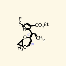 C=C/C(=C(\C=C/C)OC1CC1)c1nn(SF)cc1C(=O)OCC